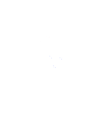 c1ccc(-c2ccc3cc(-c4nc(-c5cc6ccccc6c6ccccc56)nc(-c5cc(-c6ccccc6)cc6oc7ccccc7c56)n4)ccc3c2)cc1